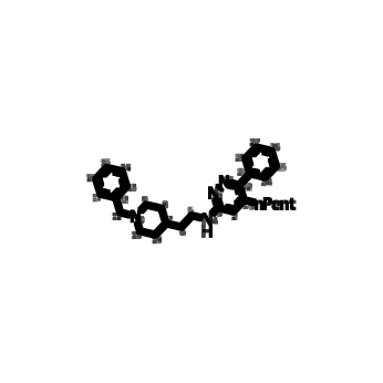 CCCCCc1cc(NCCC2CCN(Cc3ccccc3)CC2)nnc1-c1ccccc1